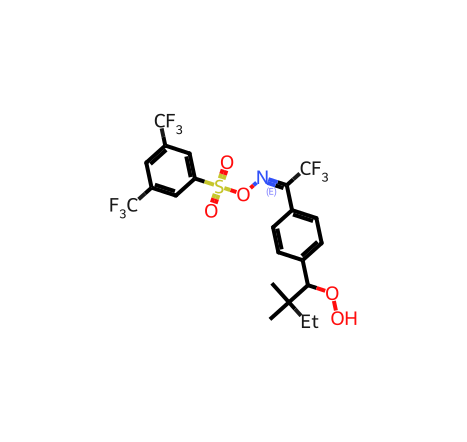 CCC(C)(C)C(OO)c1ccc(/C(=N\OS(=O)(=O)c2cc(C(F)(F)F)cc(C(F)(F)F)c2)C(F)(F)F)cc1